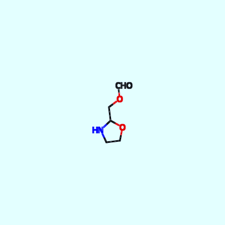 O=COCC1NCCO1